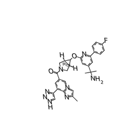 Cc1cn2cc(C(=O)N3C[C@@H]4C(Oc5cc(C(C)(C)N)cc(-c6ccc(F)cc6)n5)[C@@H]4C3)cc(-c3c[nH]nn3)c2n1